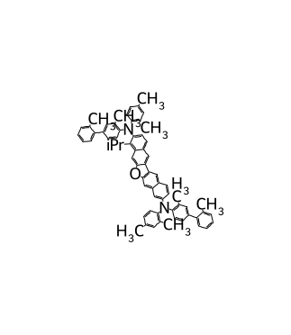 Cc1ccc(N(c2ccc3cc4c(cc3c2)oc2cc3c(C(C)C)c(N(c5ccc(C)cc5C)c5ccc(-c6ccccc6C)cc5C)ccc3cc24)c2ccc(-c3ccccc3C)cc2C)c(C)c1